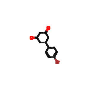 O=C1CC(=O)CC(c2ccc(Br)cc2)C1